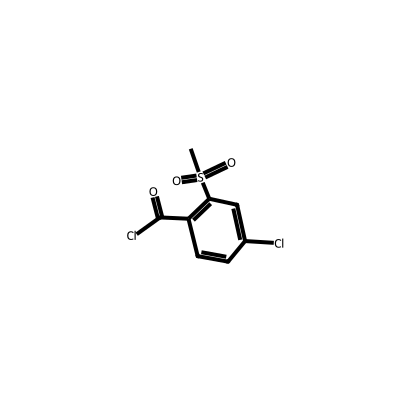 CS(=O)(=O)c1cc(Cl)ccc1C(=O)Cl